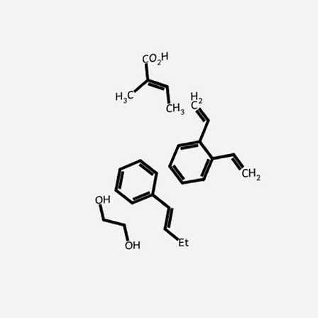 C=Cc1ccccc1C=C.CC=C(C)C(=O)O.CCC=Cc1ccccc1.OCCO